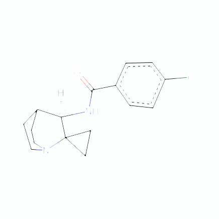 O=C(N[C@@H]1C2CCN(CC2)C12CC2)c1ccc(Cl)cc1